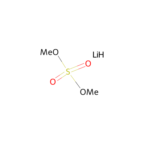 COS(=O)(=O)OC.[LiH]